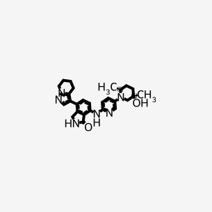 C[C@H]1CC[C@](C)(O)CN1c1ccc(Nc2ccc(-c3cnn4c3CCCC4)c3c2C(=O)NC3)nc1